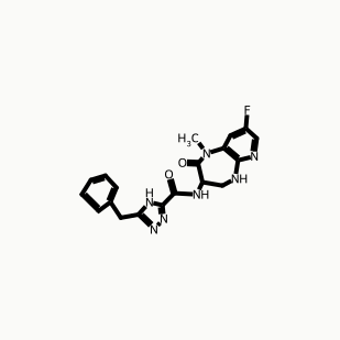 CN1C(=O)C(NC(=O)c2nnc(Cc3ccccc3)[nH]2)CNc2ncc(F)cc21